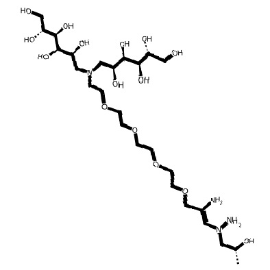 C[C@@H](O)CN(N)/C=C(\N)COCCOCCOCCOCCN(C[C@H](O)[C@@H](O)[C@H](O)[C@H](O)CO)C[C@H](O)[C@@H](O)[C@H](O)[C@H](O)CO